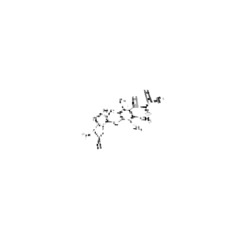 Cc1c(C)c(Oc2ccnc3c2CC(=O)N3C)c(C)c(C)c1NC(=O)NC(C)C